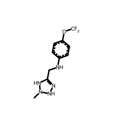 CN1NN=C(CNc2ccc(OC(F)(F)F)cc2)N1